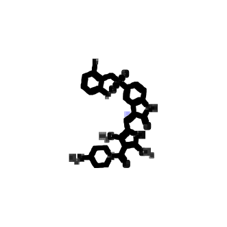 Cc1[nH]c(/C=C2\C(=O)Nc3ccc(S(=O)(=O)Cc4c(F)cccc4F)cc32)c(C)c1C(=O)N1CCC(N)CC1